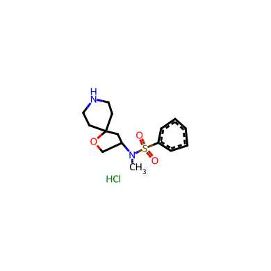 CN(C1COC2(CCNCC2)C1)S(=O)(=O)c1ccccc1.Cl